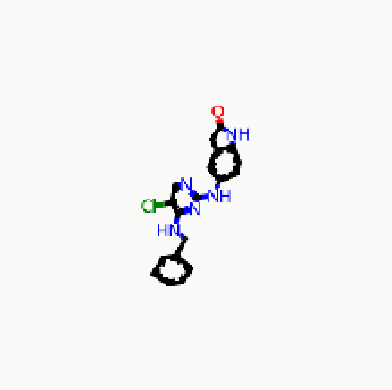 O=C1Cc2cc(Nc3ncc(Cl)c(NCc4ccccc4)n3)ccc2N1